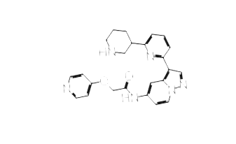 O=C(COc1ccncc1)Nc1ccn2ncc(-c3cccc(C4CCCNC4)n3)c2c1